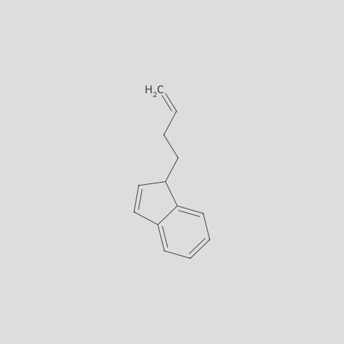 C=CCCC1C=Cc2ccccc21